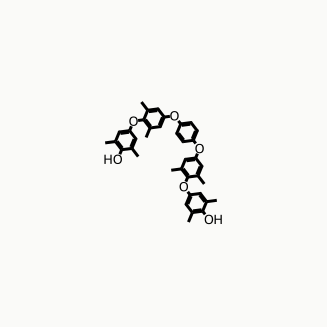 Cc1cc(Oc2c(C)cc(Oc3ccc(Oc4cc(C)c(Oc5cc(C)c(O)c(C)c5)c(C)c4)cc3)cc2C)cc(C)c1O